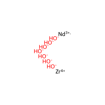 [Nd+3].[OH-].[OH-].[OH-].[OH-].[OH-].[OH-].[OH-].[Zr+4]